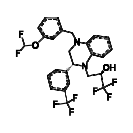 O[C@H](CN1c2ccccc2N(Cc2cccc(OC(F)F)c2)C[C@H]1c1cccc(C(F)(F)F)c1)C(F)(F)F